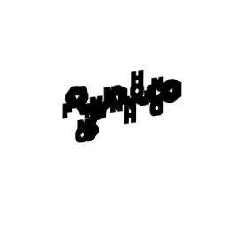 O=c1c2ccccc2ncn1CC(O)Nc1ccnc(-c2cc(-c3ccon3)n(Cc3ccccc3F)n2)n1